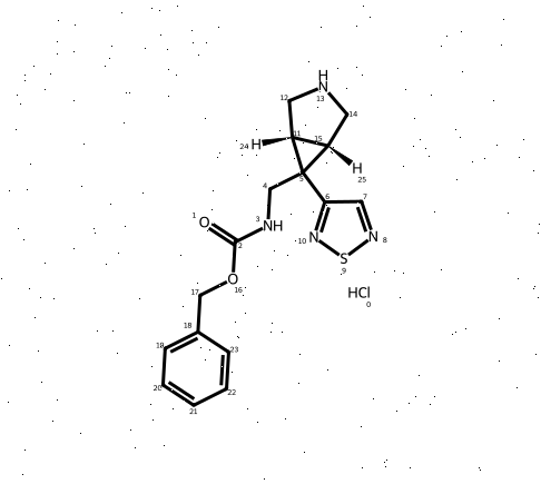 Cl.O=C(NCC1(c2cnsn2)[C@@H]2CNC[C@@H]21)OCc1ccccc1